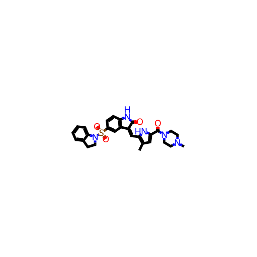 Cc1cc(C(=O)N2CCN(C)CC2)[nH]c1/C=C1\C(=O)Nc2ccc(S(=O)(=O)N3CCc4ccccc43)cc21